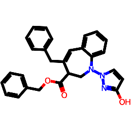 O=C(OCc1ccccc1)C1CN(n2ccc(O)n2)c2ccccc2C=C1Cc1ccccc1